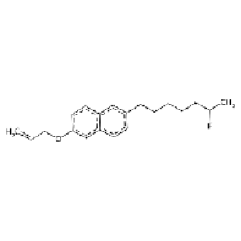 C=CCOc1ccc2cc(CCCCCC(C)F)ccc2c1